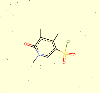 Cc1c(S(=O)(=O)Cl)cn(C)c(=O)c1C